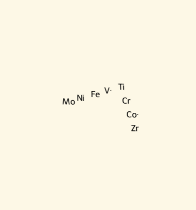 [Co].[Cr].[Fe].[Mo].[Ni].[Ti].[V].[Zr]